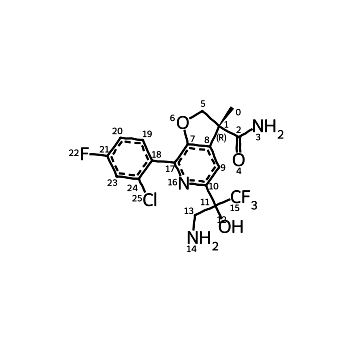 C[C@]1(C(N)=O)COc2c1cc(C(O)(CN)C(F)(F)F)nc2-c1ccc(F)cc1Cl